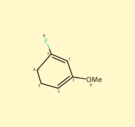 COC1=CC[CH]C(F)=C1